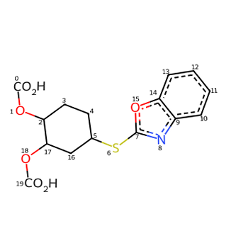 O=C(O)OC1CCC(Sc2nc3ccccc3o2)CC1OC(=O)O